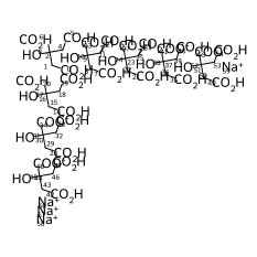 O=C(O)CC(O)(CC(=O)O)C(=O)O.O=C(O)CC(O)(CC(=O)O)C(=O)O.O=C(O)CC(O)(CC(=O)O)C(=O)O.O=C(O)CC(O)(CC(=O)O)C(=O)O.O=C(O)CC(O)(CC(=O)O)C(=O)[O-].O=C(O)CC(O)(CC(=O)O)C(=O)[O-].O=C(O)CC(O)(CC(=O)O)C(=O)[O-].O=C(O)CC(O)(CC(=O)O)C(=O)[O-].[Na+].[Na+].[Na+].[Na+]